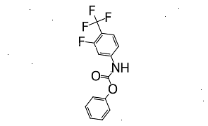 O=C(Nc1ccc(C(F)(F)F)c(F)c1)Oc1ccccc1